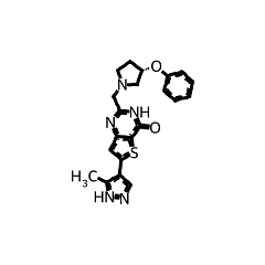 Cc1[nH]ncc1-c1cc2nc(CN3CC[C@H](Oc4ccccc4)C3)[nH]c(=O)c2s1